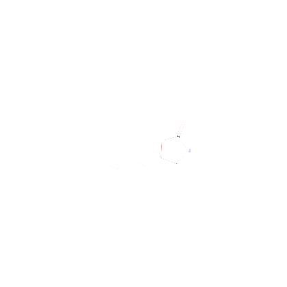 CCOC[C@H]1CNC(=O)O1